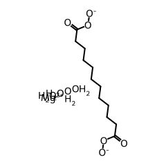 O.O.O.O.O=C(CCCCCCCCCCC(=O)O[O-])O[O-].[Mg+2]